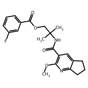 COc1nc2c(cc1C(=O)NC(C)(C)COC(=O)c1cccc(F)c1)CCC2